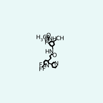 C#Cc1cc(CNC(=O)C=Cc2ccc(C(F)(F)F)nc2-c2cccnc2)cc(F)c1NS(C)(=O)=O